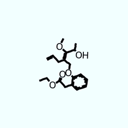 C=CC/C(COc1ccccc1CC(=O)OCC)=C(\OC)C(C)O